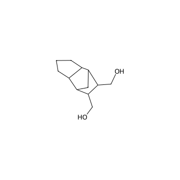 OCC1C(CO)C2CC1C1CCCC12